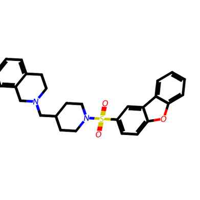 O=S(=O)(c1ccc2oc3ccccc3c2c1)N1CCC(CN2CCc3ccccc3C2)CC1